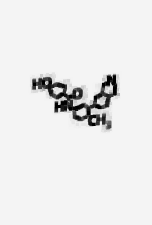 Cc1ccc(NC(=O)c2ccc(O)cc2)cc1-c1ccc2ccncc2c1